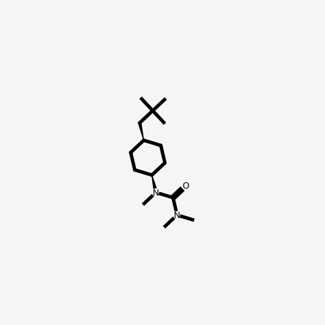 CN(C)C(=O)N(C)[C@H]1CC[C@@H](CC(C)(C)C)CC1